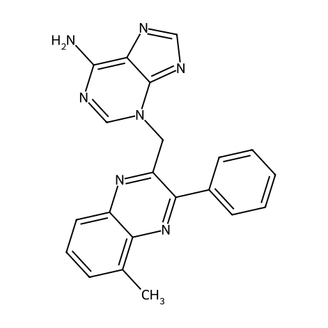 Cc1cccc2nc(Cn3cnc(N)c4ncnc3-4)c(-c3ccccc3)nc12